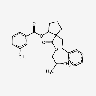 Cc1cccc(C(=O)OC2CCCC2(CCc2ccccc2)C(=O)OCC(C)C)c1